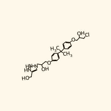 CC(C)(c1ccc(OCC(O)CCl)cc1)c1ccc(OCC(O)CN2C=C(CO)NN2)cc1